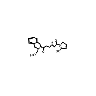 N#C[C@@H]1CCCN1C(=O)CNCCC(=O)N1Cc2ccccc2CC1CO